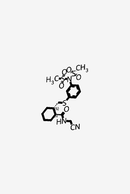 CS(=O)(=O)N(c1cccc(SC[C@H]2CCCC[C@@H]2C(=O)NCC#N)c1)S(C)(=O)=O